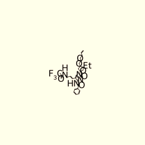 C=CCOCO[C@@H]1C[C@H](n2cc(/C=C/CNC(=O)C(F)(F)F)c(NC(=O)c3ccccc3)nc2=O)O[C@@H]1CC